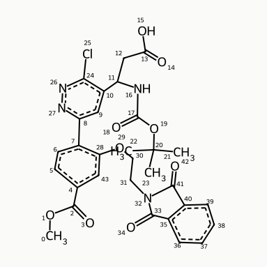 COC(=O)c1ccc(-c2cc(C(CC(=O)O)NC(=O)OC(C)(C)C)c(Cl)nn2)c(OCCN2C(=O)c3ccccc3C2=O)c1